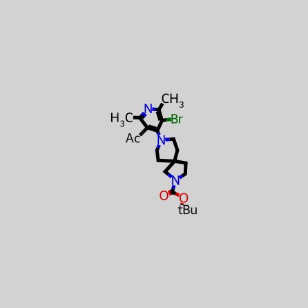 CC(=O)c1c(C)nc(C)c(Br)c1N1CCC2(CCN(C(=O)OC(C)(C)C)C2)CC1